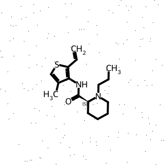 C=Cc1scc(C)c1NC(=O)[C@@H]1CCCCN1CCC